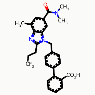 Cc1cc(C(=O)N(C)C)cc2c1nc(CCC(F)(F)F)n2Cc1ccc(-c2ccccc2C(=O)O)cc1